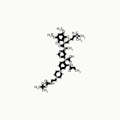 C=CC(=O)Nc1cc(N2CCN(CCNC(=O)OC(C)(C)C)CC2)ccc1N(C(=O)O)c1cc(N(C)C(=O)N(COCC[Si](C)(C)C)c2c(Cl)c(OC)cc(OC)c2Cl)ncn1